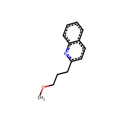 COCCCc1c[c]c2ccccc2n1